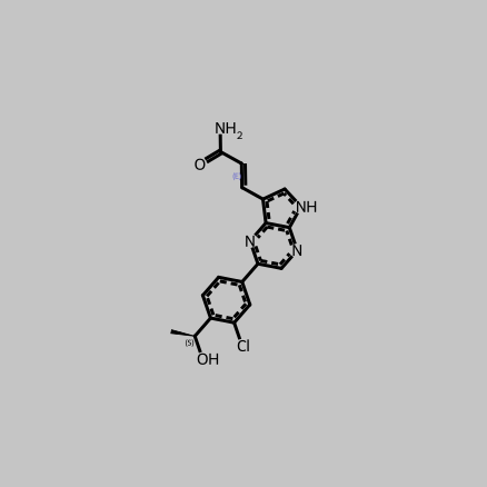 C[C@H](O)c1ccc(-c2cnc3[nH]cc(/C=C/C(N)=O)c3n2)cc1Cl